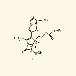 CSc1ncn2cc(C3=C(C(=O)O)N4C(=O)[C@H]([C@@H](C)O)[C@@H]4[C@@]3(C)CCOC(=O)OC(C)C)sc12